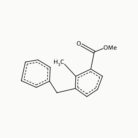 COC(=O)c1cccc(Cc2ccccc2)c1C